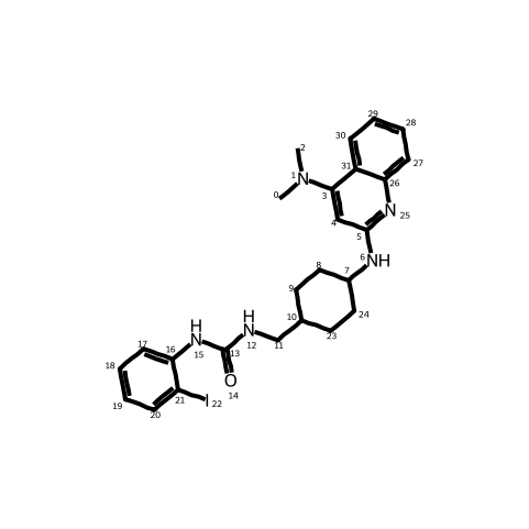 CN(C)c1cc(NC2CCC(CNC(=O)Nc3ccccc3I)CC2)nc2ccccc12